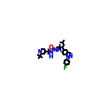 CC(C)CC(c1ccc2c(cnn2-c2ccc(F)cc2)c1)C(C)(C)CNC(=O)NC(C)(C)c1ccnc(C(C)(C)C)c1